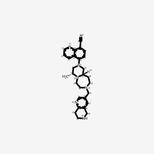 C[C@@H]1CN(c2ccc(C#N)c3ncccc23)C[C@@H]2CCN(Cc3cnc4c(c3)CNCC4)CCN21